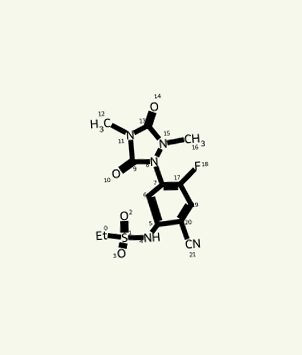 CCS(=O)(=O)Nc1cc(-n2c(=O)n(C)c(=O)n2C)c(F)cc1C#N